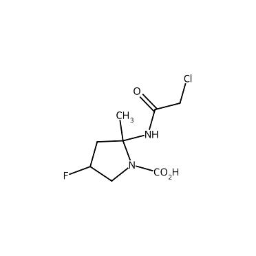 CC1(NC(=O)CCl)CC(F)CN1C(=O)O